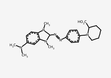 CN(C)c1ccc2c(c1)N(C)C(N=Nc1ccc(N3CCCCC3C(=O)O)cc1)N2C